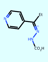 CC/C(=N/NC(=O)O)c1ccncc1